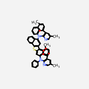 Cc1ccc(-c2cc(C)cnc2N(c2ccccc2)c2cc3c(sc4cc(N(c5ccccc5)c5ncc(C)cc5-c5ccc(C)cc5)c5ccccc5c43)c3ccccc23)cc1